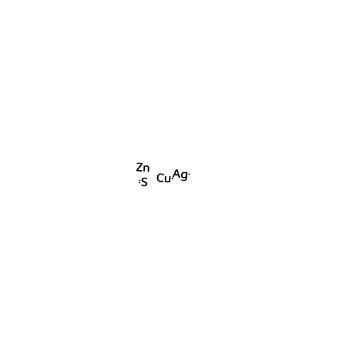 [Ag].[Cu].[S].[Zn]